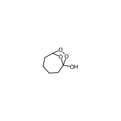 OC12CCCCC(OO1)O2